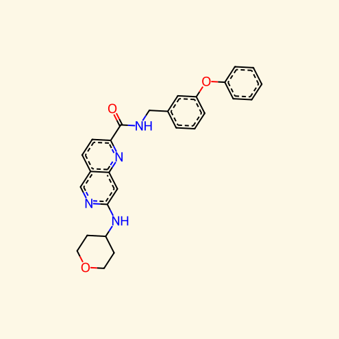 O=C(NCc1cccc(Oc2ccccc2)c1)c1ccc2cnc(NC3CCOCC3)cc2n1